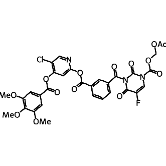 COc1cc(C(=O)Oc2cc(OC(=O)c3cccc(C(=O)n4c(=O)c(F)cn(C(=O)OCOC(C)=O)c4=O)c3)ncc2Cl)cc(OC)c1OC